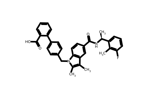 Cc1c(F)cccc1[C@H](C)NC(=O)c1ccc2c(c1)c(C)c(C)n2Cc1ccc(-c2ccccc2C(=O)O)cc1